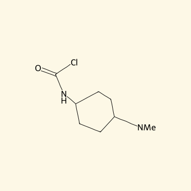 CNC1CCC(NC(=O)Cl)CC1